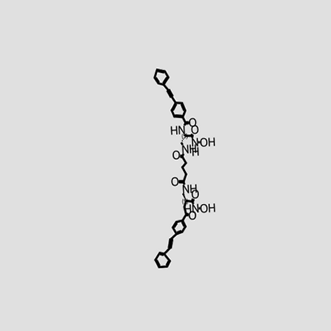 O=C(CCCC(=O)NC[C@H](NC(=O)c1ccc(C#Cc2ccccc2)cc1)C(=O)NO)NC[C@H](CC(=O)c1ccc(C#Cc2ccccc2)cc1)C(=O)NO